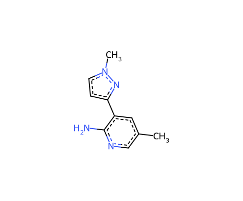 Cc1cnc(N)c(-c2ccn(C)n2)c1